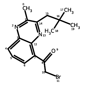 Cc1nc2cccc(C(=O)CBr)c2nc1CC(C)(C)C